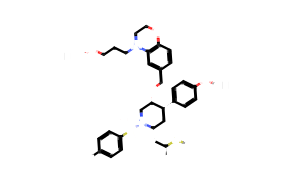 COCCCN1CCOc2ccc(CO[C@H]3CN(S(=O)(=O)c4ccc(C)cc4)[C@@H](C[C@H](C)SC)C[C@@H]3c3ccc(OC)cc3)cc21